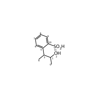 CC(O)C(C)c1ccccc1S(=O)(=O)O